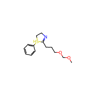 COCOCCCC1=NCC[SH]1c1ccccc1